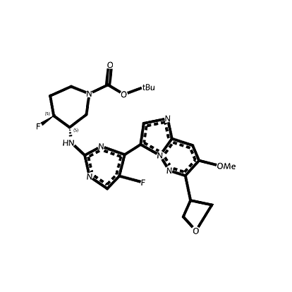 COc1cc2ncc(-c3nc(N[C@H]4CN(C(=O)OC(C)(C)C)CC[C@@H]4F)ncc3F)n2nc1C1COC1